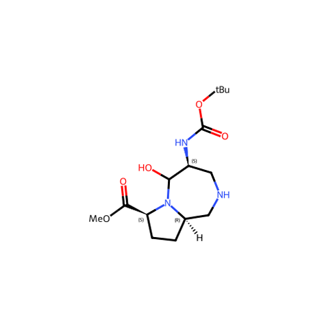 COC(=O)[C@@H]1CC[C@@H]2CNC[C@H](NC(=O)OC(C)(C)C)C(O)N21